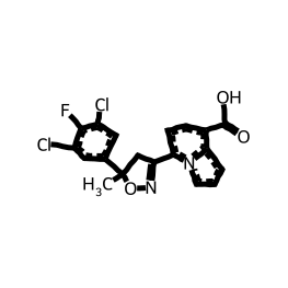 CC1(c2cc(Cl)c(F)c(Cl)c2)CC(c2ccc(C(=O)O)c3cccn23)=NO1